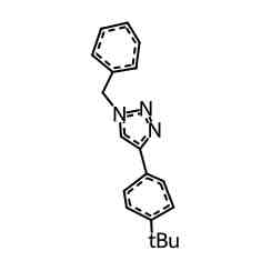 CC(C)(C)c1ccc(-c2cn(Cc3ccccc3)nn2)cc1